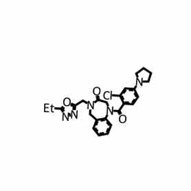 CCc1nnc(CN2Cc3ccccc3N(C(=O)c3ccc(N4CCCC4)cc3Cl)CC2=O)o1